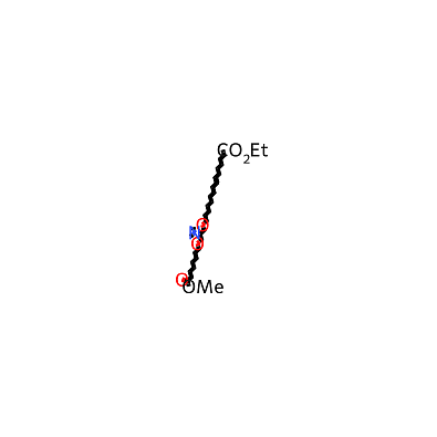 CCOC(=O)CCCCCC=CCCCCCCCCOCC(COCCCCCCCC(=O)OC)N(C)C